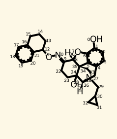 Oc1ccc2c3c1O[C@H]1C(=NOC4CCCc5ccccc54)CCC4(O)[C@@H](C2)N(CC2CC2)CC[C@]314